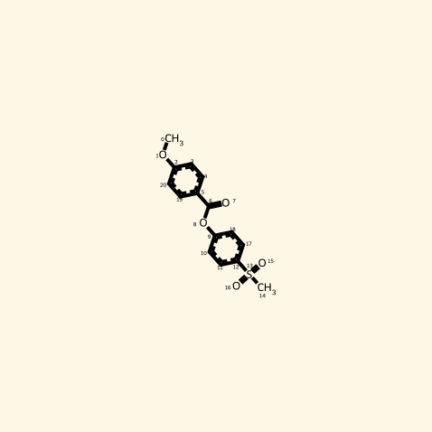 COc1ccc(C(=O)Oc2ccc(S(C)(=O)=O)cc2)cc1